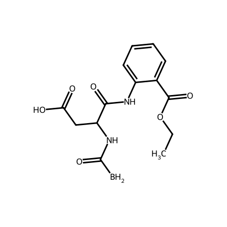 BC(=O)NC(CC(=O)O)C(=O)Nc1ccccc1C(=O)OCC